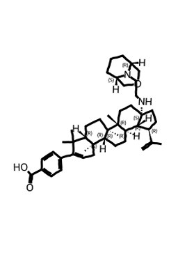 C=C(C)[C@@H]1CC[C@]2(NCCN3[C@@H]4CCC[C@H]3COC4)CC[C@]3(C)[C@H](CC[C@@H]4[C@@]5(C)CC=C(c6ccc(C(=O)O)cc6)C(C)(C)[C@@H]5CC[C@]43C)[C@@H]12